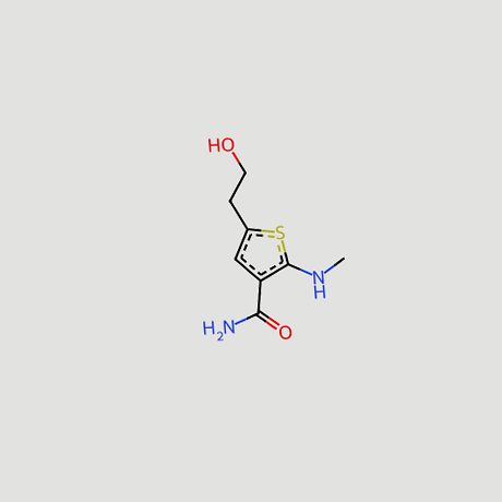 CNc1sc(CCO)cc1C(N)=O